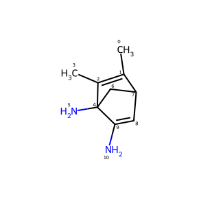 CC1=C(C)C2(N)CC1C=C2N